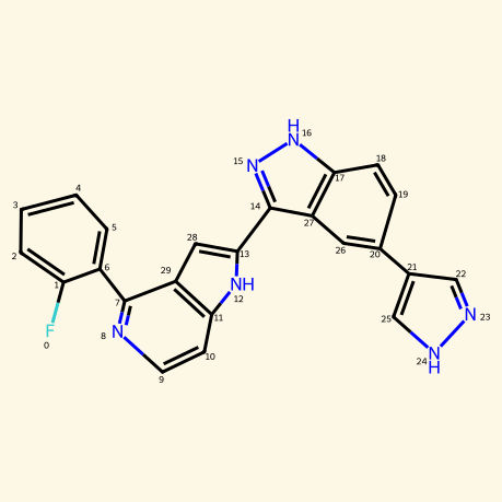 Fc1ccccc1-c1nccc2[nH]c(-c3n[nH]c4ccc(-c5cn[nH]c5)cc34)cc12